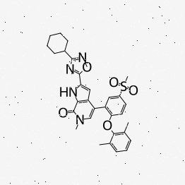 Cc1cccc(C)c1Oc1ccc(S(C)(=O)=O)cc1-c1cn(C)c(=O)c2[nH]c(-c3nc(C4CCCCC4)no3)cc12